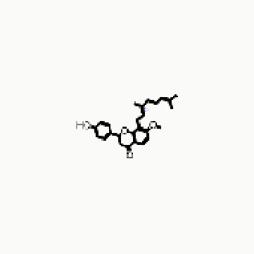 COc1ccc2c(c1C/C=C(\C)CCC=C(C)C)OC(c1ccc(O)cc1)CC2=O